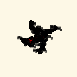 CC(C)CCC1CCN(C(=O)[C@H](CC(C)C(C)C[C@@H]2NCCN([C@@H](CC(C)C(C)C[C@@H]3NCCN([C@@H](CC(C)CCC(C)C[C@@H]4NCCN([C@@H](CC(C)CCC(C)C[C@@H]5NCCN([C@@H](CC(C)C)C(=O)N6CCC(C)(Cc7nccn7C)CC6)C5=O)C(=O)N5CCC(CCCN(C)C)CC5)C4=O)C(=O)N4CCC(Cc5ncc[nH]5)CC4)C3=O)C(=O)N3CCC(Cc4nccn4C)CC3)C2=O)N2CCN[C@@H](CC(C)C)C2=O)CC1